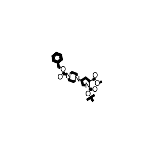 COC(=O)[C@@H]1C[C@H](N2CCN(C(=O)OCc3ccccc3)CC2)CN1C(=O)OC(C)(C)C